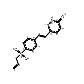 C=CCS(=O)(=O)c1ccc(/C=C/c2ccc(=O)[nH]n2)cc1